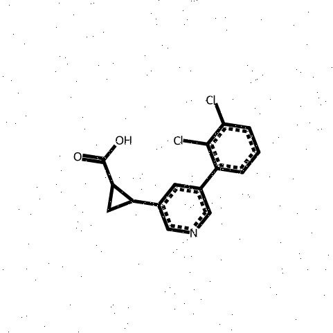 O=C(O)C1CC1c1cncc(-c2cccc(Cl)c2Cl)c1